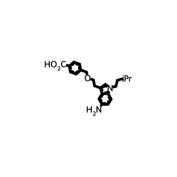 CC(C)CCn1cc(CCOCc2ccc(C(=O)O)cc2)c2cc(N)ccc21